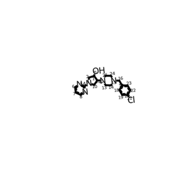 OC1CN(c2ncccn2)CC1N1CCN(Cc2ccc(Cl)cc2)CC1